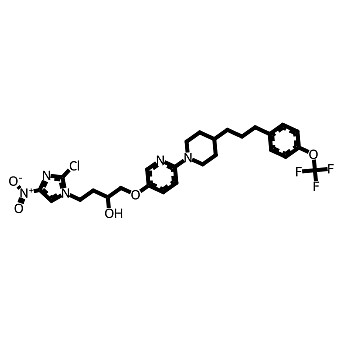 O=[N+]([O-])c1cn(CCC(O)COc2ccc(N3CCC(CCCc4ccc(OC(F)(F)F)cc4)CC3)nc2)c(Cl)n1